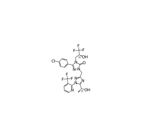 C[C@H](O)c1nc(Cn2nc(-c3ccc(Cl)cc3)n(C[C@H](O)C(F)(F)F)c2=O)nn1-c1ncccc1C(F)(F)F